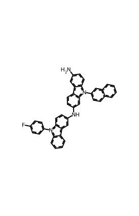 Nc1ccc2c(c1)c1ccc(Nc3ccc4c(c3)c3ccccc3n4-c3ccc(F)cc3)cc1n2-c1ccc2ccccc2c1